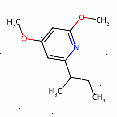 CCC(C)c1cc(OC)cc(OC)n1